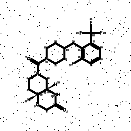 O=C1CO[C@H]2CCN(C(=O)N3CCC(Cc4c(F)cccc4C(F)(F)F)CC3)C[C@H]2N1